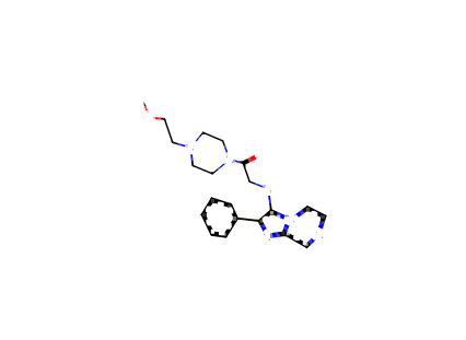 CCOCCN1CCN(C(=O)CNc2c(-c3ccccc3)nc3cnccn23)CC1